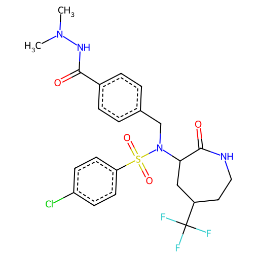 CN(C)NC(=O)c1ccc(CN(C2CC(C(F)(F)F)CCNC2=O)S(=O)(=O)c2ccc(Cl)cc2)cc1